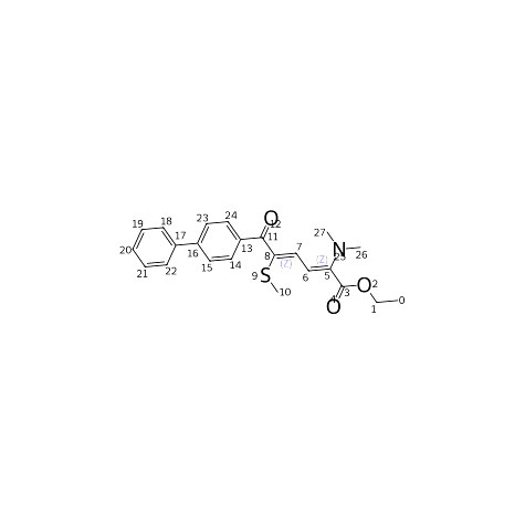 CCOC(=O)/C(=C/C=C(\SC)C(=O)c1ccc(-c2ccccc2)cc1)N(C)C